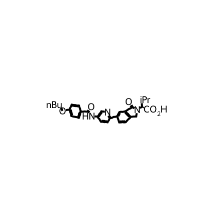 CCCCOc1ccc(C(=O)Nc2ccc(-c3ccc4c(c3)C(=O)N([C@H](C(=O)O)C(C)C)C4)nc2)cc1